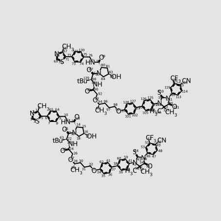 Cc1ncsc1-c1ccc(CNC(=O)[C@@H]2C[C@@H](O)CN2C(=O)[C@@H](NC(=O)CO[C@@H](C)CCCOc2ccc(-c3ccc(N4C(=S)N(c5ccc(C#N)c(C(F)(F)F)c5)C(=O)C4(C)C)cc3)cc2)C(C)(C)C)cc1.Cc1ncsc1-c1ccc(CNC(=O)[C@@H]2C[C@@H](O)CN2C(=O)[C@@H](NC(=O)CO[C@H](C)CCCOc2ccc(-c3ccc(N4C(=S)N(c5ccc(C#N)c(C(F)(F)F)c5)C(=O)C4(C)C)cc3)cc2)C(C)(C)C)cc1